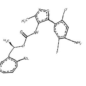 CCc1ccccc1[C@@H](C)OC(=O)Nc1c(C)nsc1-c1cc(F)c(N)cc1Cl